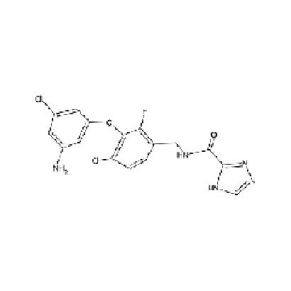 Nc1cc(Cl)cc(Oc2c(Cl)ccc(CNC(=O)c3nnc[nH]3)c2F)c1